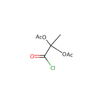 CC(=O)OC(C)(OC(C)=O)C(=O)Cl